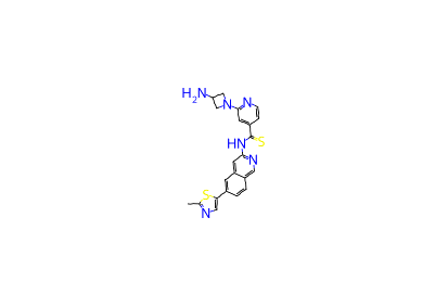 Cc1ncc(-c2ccc3cnc(NC(=S)c4ccnc(N5CC(N)C5)c4)cc3c2)s1